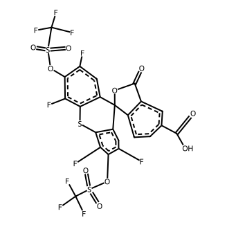 O=C(O)c1ccc2c(c1)C(=O)OC21c2cc(F)c(OS(=O)(=O)C(F)(F)F)c(F)c2Sc2c1cc(F)c(OS(=O)(=O)C(F)(F)F)c2F